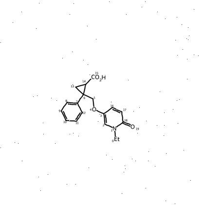 CCn1cc(OCC2(c3ccccc3)CC2C(=O)O)ccc1=O